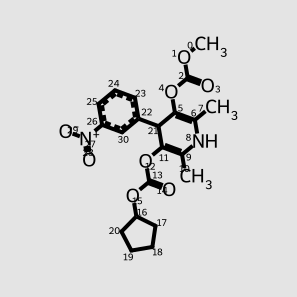 COC(=O)OC1=C(C)NC(C)=C(OC(=O)OC2CCCC2)C1c1cccc([N+](=O)[O-])c1